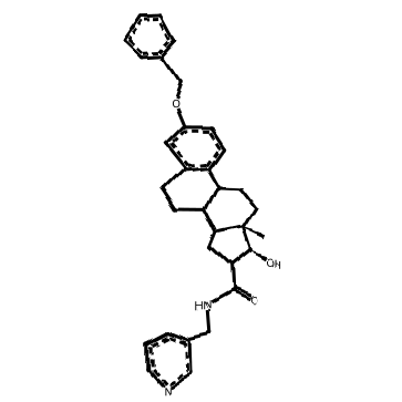 C[C@]12CCC3c4ccc(OCc5ccccc5)cc4CCC3C1CC(C(=O)NCc1cccnc1)[C@@H]2O